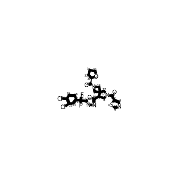 O=C(c1cncs1)N1CC(c2nnc(C(F)(F)c3ccc(Cl)c(Cl)c3)o2)C2(C1)CN(C(=O)[C@H]1CCCO1)C2